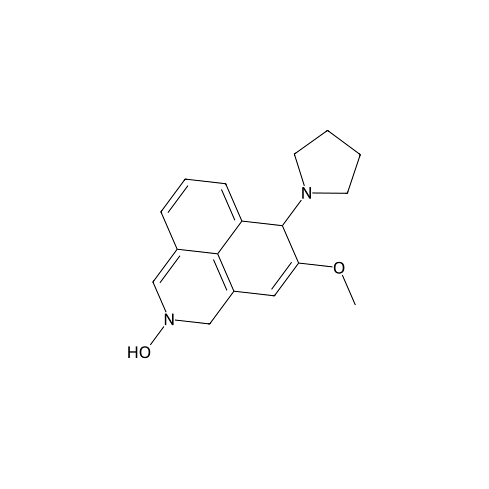 COC1=CC2=c3c(cccc3=CN(O)C2)C1N1CCCC1